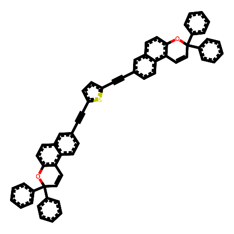 C(#Cc1ccc(C#Cc2ccc3c4c(ccc3c2)OC(c2ccccc2)(c2ccccc2)C=C4)s1)c1ccc2c3c(ccc2c1)OC(c1ccccc1)(c1ccccc1)C=C3